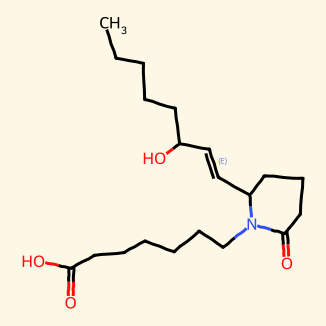 CCCCCC(O)/C=C/C1CCCC(=O)N1CCCCCCC(=O)O